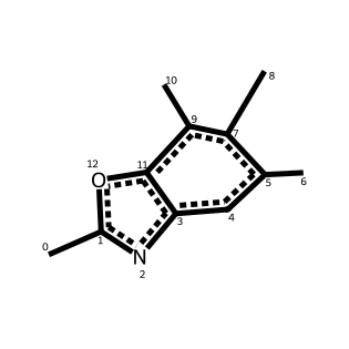 Cc1nc2cc(C)c(C)c(C)c2o1